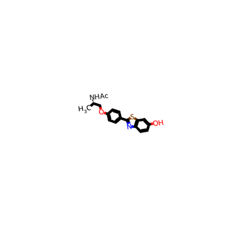 CC(=O)N[C@@H](C)COc1ccc(-c2nc3ccc(O)cc3s2)cc1